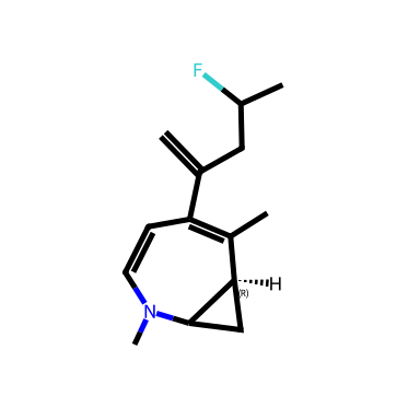 C=C(CC(C)F)C1=C(C)[C@H]2CC2N(C)C=C1